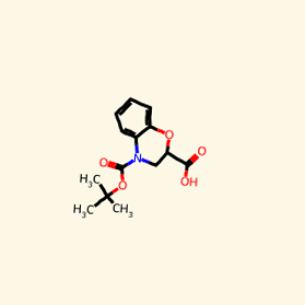 CC(C)(C)OC(=O)N1CC(C(=O)O)Oc2ccccc21